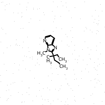 CCCC(C)(CC)c1nc2cccnc2n1C